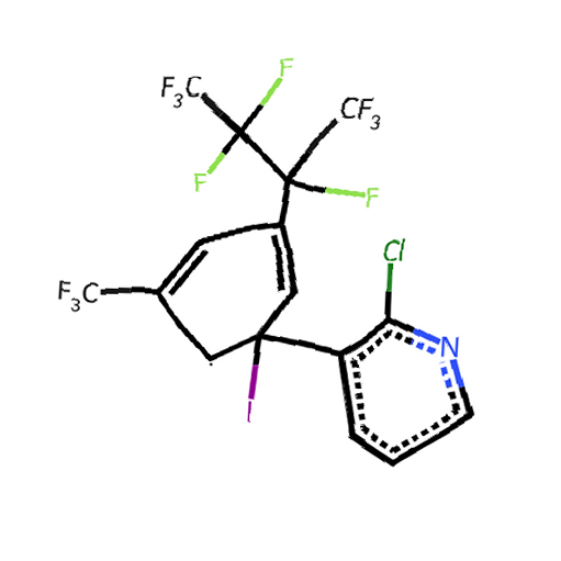 FC(F)(F)C1=CC(C(F)(C(F)(F)F)C(F)(F)C(F)(F)F)=CC(I)(c2cccnc2Cl)[CH]1